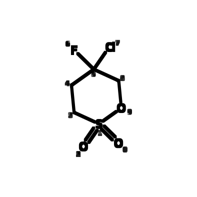 O=S1(=O)CCC(F)(Cl)CO1